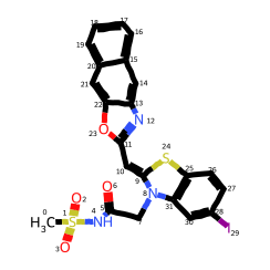 CS(=O)(=O)NC(=O)CN1/C(=C/c2nc3cc4ccccc4cc3o2)Sc2ccc(I)cc21